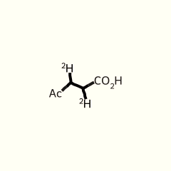 [2H]C(C(C)=O)C([2H])C(=O)O